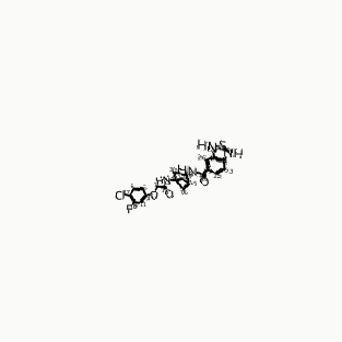 O=C(COc1ccc(Cl)c(F)c1)NC12CC(C1)C(NC(=O)c1ccc3c(c1)NSN3)C2